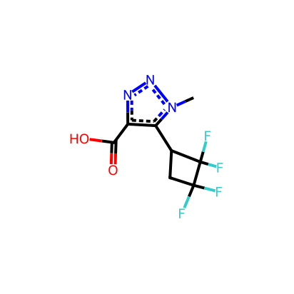 Cn1nnc(C(=O)O)c1C1CC(F)(F)C1(F)F